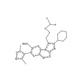 COc1cc2c(cc1-c1c(C)noc1C)ncc1nc(C3CCCCC3)n(CCOC(F)F)c12